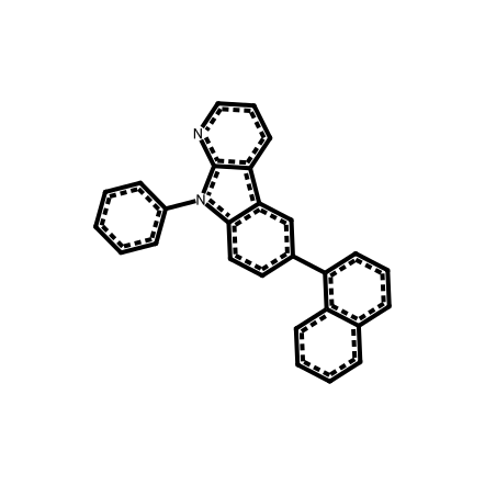 c1ccc(-n2c3ccc(-c4cccc5ccccc45)cc3c3cccnc32)cc1